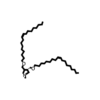 CCCCCCCC/C=C\CCCCCCCCOCC1CN(C)C[C@H]1COCCCCCCCC/C=C\CCCCCCCC